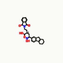 O=C(O)[C@@H](CCN1C(=O)c2ccccc2C1=O)CC(=NO)c1ccc2c(c1)CC1=C2CCCC1